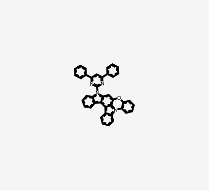 c1ccc(-c2cc(-c3ccccc3)nc(-n3c4ccccc4c4c5c6ccccc6n6c5c(cc43)Oc3ccccc3-6)n2)cc1